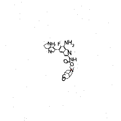 Cc1c(-c2cc3cc(NC(=O)OCCC4C5COCC4CN(C)C5)ncc3c(N)c2F)cnc2c1NCCC2